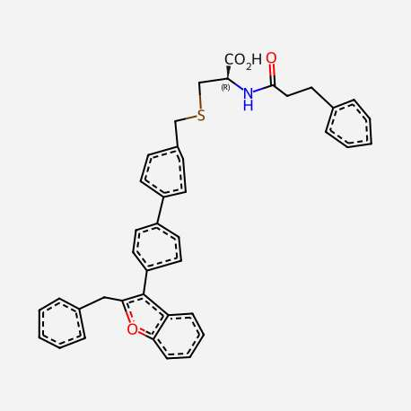 O=C(CCc1ccccc1)N[C@@H](CSCc1ccc(-c2ccc(-c3c(Cc4ccccc4)oc4ccccc34)cc2)cc1)C(=O)O